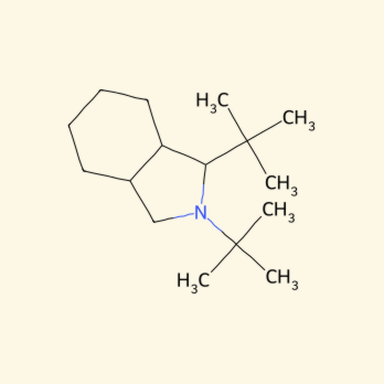 CC(C)(C)C1C2CCCCC2CN1C(C)(C)C